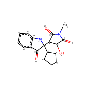 CN1C(=O)C(O)C(C2(C3CCCC3)Nc3ccccc3C2=O)C1=O